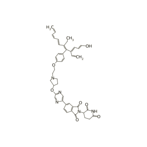 C=C\C=C/C=C/C(CC)=C(/C(C=C)=C/C=C/O)c1ccc(OCCN2CCC(Oc3cnc(-c4ccc5c(c4)C(=O)N(C4CCC(=O)NC4=O)C5=O)cn3)C2)cc1